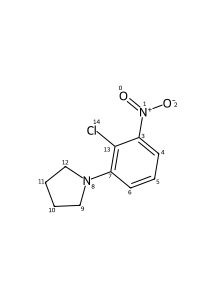 O=[N+]([O-])c1cccc(N2CCCC2)c1Cl